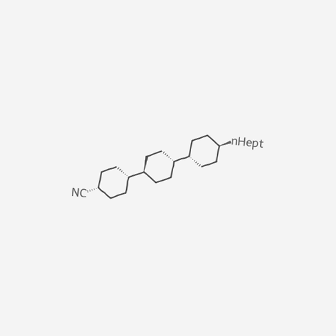 CCCCCCC[C@H]1CC[C@H]([C@H]2CC[C@H]([C@H]3CC[C@@H](C#N)CC3)CC2)CC1